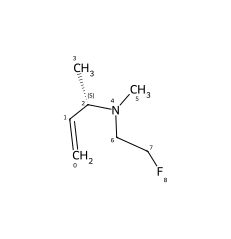 C=C[C@H](C)N(C)CCF